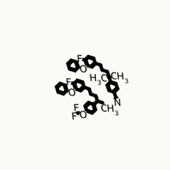 CC(C)(CCCc1ccc(F)c(Oc2ccccc2)c1)c1ccc(C#N)cc1.CCC(CCCc1ccc(F)c(Oc2ccccc2)c1)c1ccc(OC(F)F)cc1